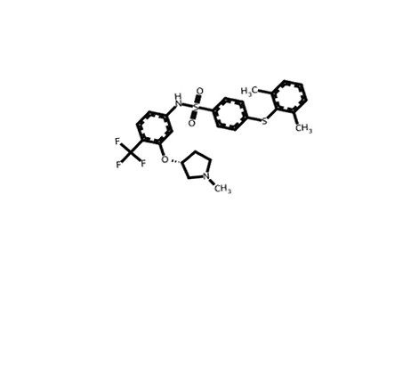 Cc1cccc(C)c1Sc1ccc(S(=O)(=O)Nc2ccc(C(F)(F)F)c(O[C@@H]3CCN(C)C3)c2)cc1